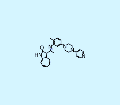 C/C(=N\c1cc(N2CCN(c3ccncc3)CC2)ccc1C)c1c2cccccc-2[nH]c1=O